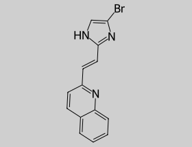 Brc1c[nH]c(C=Cc2ccc3ccccc3n2)n1